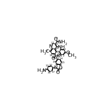 COc1cccc(Nc2c(C(N)=O)cnc3c(C)cc(S(=O)(=O)c4ccc5oc(=O)n(-c6ccc(N)cc6)c5c4)cc23)c1